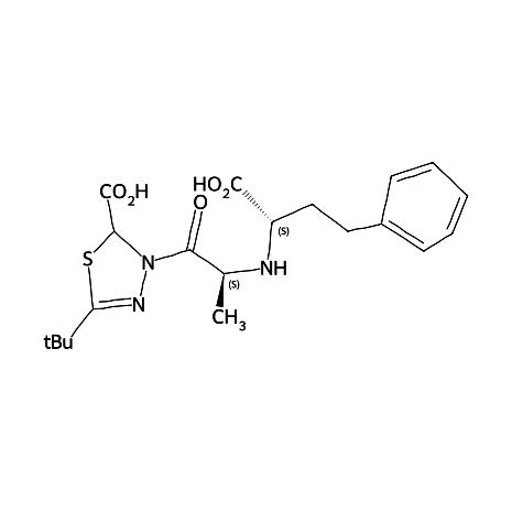 C[C@H](N[C@@H](CCc1ccccc1)C(=O)O)C(=O)N1N=C(C(C)(C)C)SC1C(=O)O